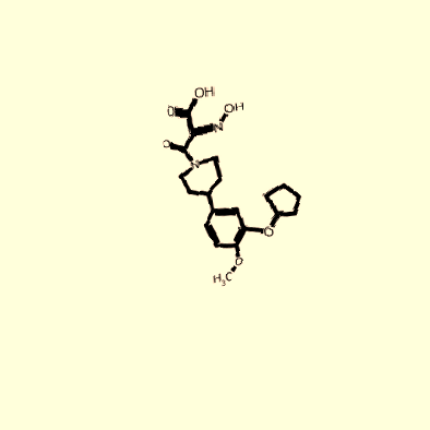 COc1ccc(C2CCN(C(=O)C(=NO)C(=O)O)CC2)cc1OC1CCCC1